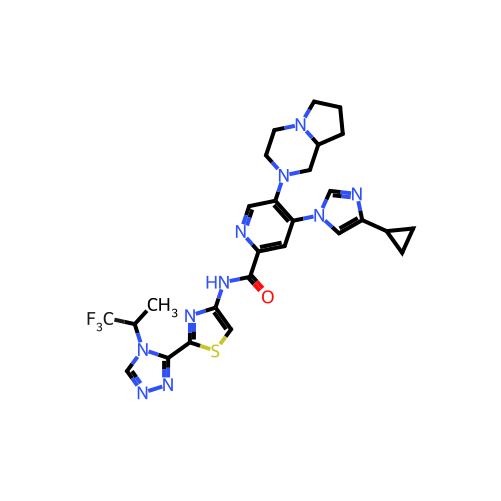 CC(n1cnnc1-c1nc(NC(=O)c2cc(-n3cnc(C4CC4)c3)c(N3CCN4CCCC4C3)cn2)cs1)C(F)(F)F